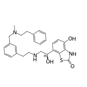 CN(CCc1ccccc1)Cc1cccc(CCNC[C@H](O)c2ccc(O)c3[nH]c(=O)sc23)c1